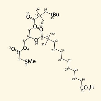 CSCC(=O)OCC(COC(=O)C(C)(C)CC(C)(C)C)OC(=O)C(C)(C)CCCCCCCCCC(=O)O